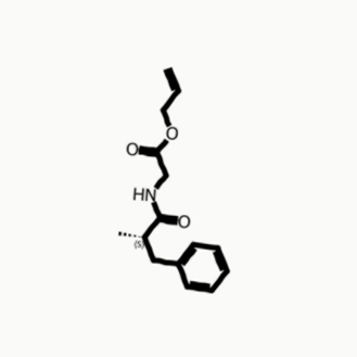 C=CCOC(=O)CNC(=O)[C@@H](C)Cc1ccccc1